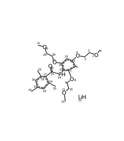 COCCOc1cc(OCCOC)c(PC(=O)c2c(C)cc(C)cc2C)c(OCCOC)c1.[LiH]